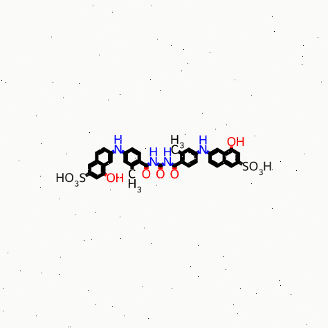 Cc1cc(Nc2ccc3cc(S(=O)(=O)O)cc(O)c3c2)ccc1C(=O)NC(=O)NC(=O)c1ccc(Nc2ccc3cc(S(=O)(=O)O)cc(O)c3c2)cc1C